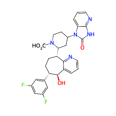 O=C(O)N1CCC(n2c(=O)[nH]c3ncccc32)CC1[C@H]1CC[C@@H](c2cc(F)cc(F)c2)[C@H](O)c2cccnc21